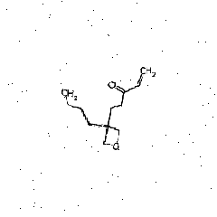 C=CC(=O)CCC1(CCCC)COC1